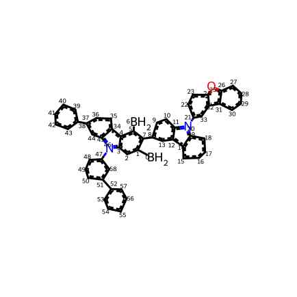 Bc1cc2c(c(B)c1-c1ccc3c(c1)c1ccccc1n3-c1ccc3oc4ccccc4c3c1)c1ccc(-c3ccccc3)cc1n2-c1cccc(-c2ccccc2)c1